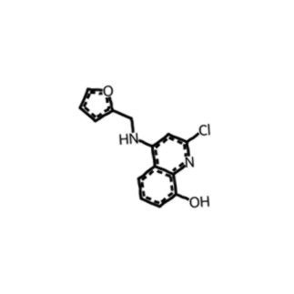 Oc1cccc2c(NCc3ccco3)cc(Cl)nc12